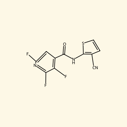 N#Cc1ccsc1NC(=O)c1cc(F)nc(F)c1F